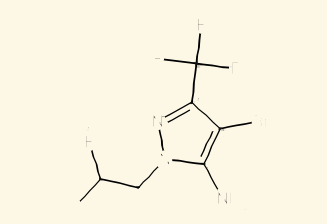 Nc1c(Br)c(C(F)(F)F)nn1CC(F)F